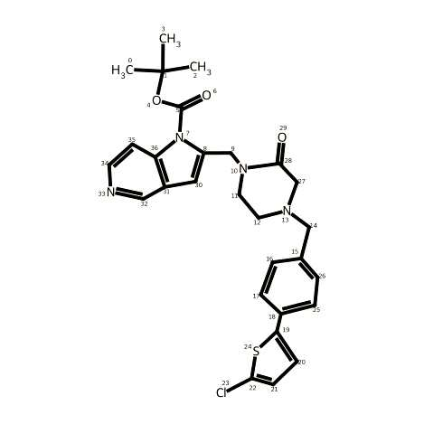 CC(C)(C)OC(=O)n1c(CN2CCN(Cc3ccc(-c4ccc(Cl)s4)cc3)CC2=O)cc2cnccc21